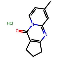 Cc1ccn2c(=O)c3c(nc2c1)CCC3.Cl